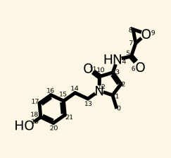 CC1C=C(NC(=O)C2CO2)C(=O)N1CCc1ccc(O)cc1